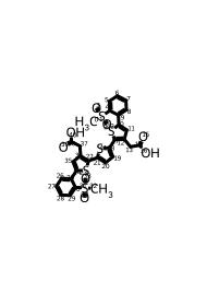 CS(=O)(=O)c1ccccc1-c1cc(CC(=O)O)c(-c2ccc(-c3sc(-c4ccccc4S(C)(=O)=O)cc3CC(=O)O)s2)s1